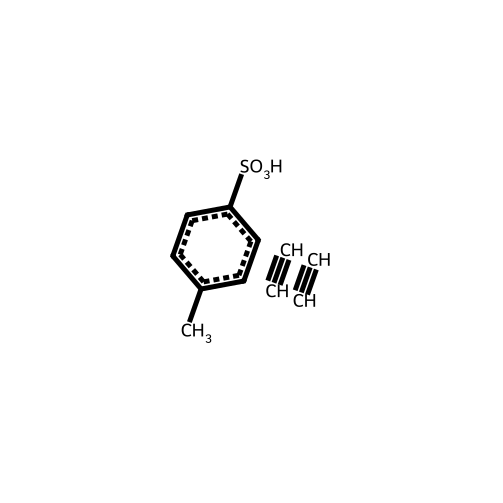 C#C.C#C.Cc1ccc(S(=O)(=O)O)cc1